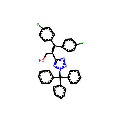 OCC(=C(c1ccc(F)cc1)c1ccc(F)cc1)c1nnn(C(c2ccccc2)(c2ccccc2)c2ccccc2)n1